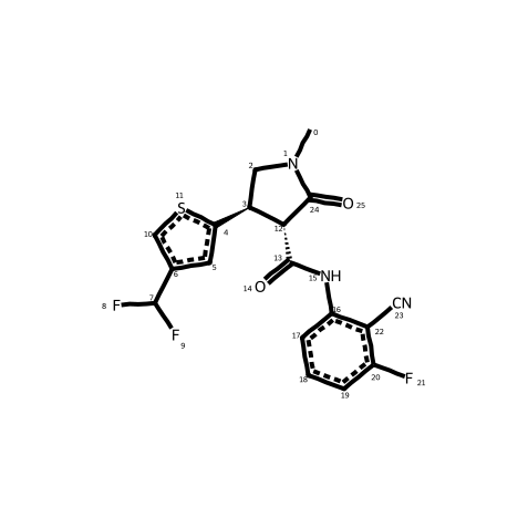 CN1C[C@H](c2cc(C(F)F)cs2)[C@@H](C(=O)Nc2cccc(F)c2C#N)C1=O